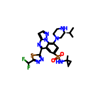 CC(C)[C@@H]1CN(c2cc(S(=O)(=O)NC3(C)CC3)cc3c(-c4nnc(C(F)F)s4)nc4ccnn4c23)CCN1